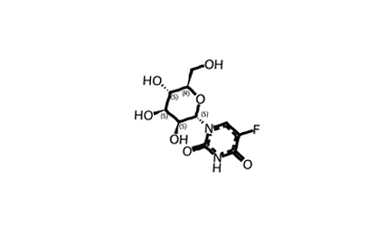 O=c1[nH]c(=O)n([C@H]2O[C@H](CO)[C@@H](O)[C@H](O)[C@@H]2O)cc1F